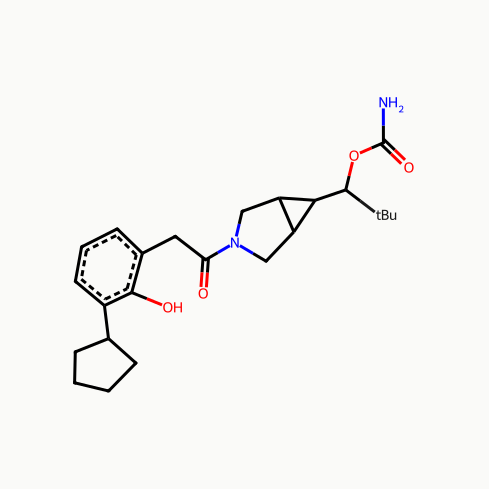 CC(C)(C)C(OC(N)=O)C1C2CN(C(=O)Cc3cccc(C4CCCC4)c3O)CC21